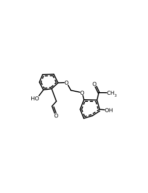 CC(=O)c1c(O)cccc1OCOc1cccc(O)c1CC=O